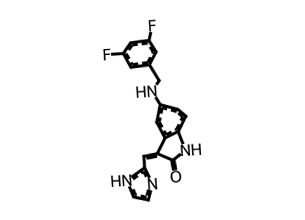 O=C1Nc2ccc(NCc3cc(F)cc(F)c3)cc2C1=Cc1ncc[nH]1